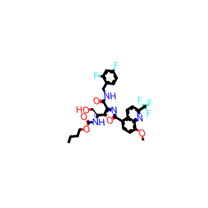 CCCCOC(=O)N[C@@H](CO)c1oc(-c2ccc(OC)c3nc(C(F)(F)F)ccc23)nc1C(=O)NCc1ccc(F)cc1F